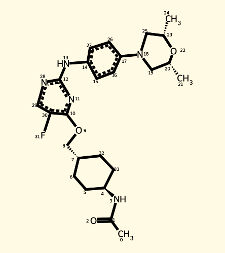 CC(=O)N[C@H]1CC[C@H](COc2nc(Nc3ccc(N4C[C@@H](C)O[C@@H](C)C4)cc3)ncc2F)CC1